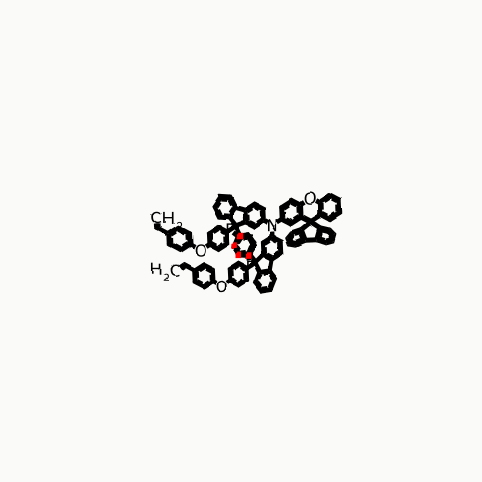 C=Cc1ccc(Oc2ccc(C3(c4ccc(F)cc4)c4ccccc4-c4ccc(N(c5ccc6c(c5)C5(c7ccccc7O6)c6ccccc6-c6ccccc65)c5ccc6c(c5)C(c5ccc(F)cc5)(c5ccc(Oc7ccc(C=C)cc7)cc5)c5ccccc5-6)cc43)cc2)cc1